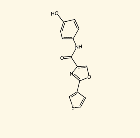 O=C(Nc1ccc(O)cc1)c1coc(-c2ccsc2)n1